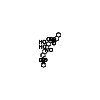 O=C(c1cc(S(=O)(=O)N2CCc3ccccc3C2)c(O)c(O)c1O)N1CCc2ccc(S(=O)(=O)N3CCCCC3)cc2C1